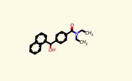 CCN(CC)C(=O)c1ccc(C(O)c2cccc3ccccc23)cc1